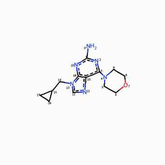 Nc1nc(N2CCOCC2)c2ncn(C[C]3CC3)c2n1